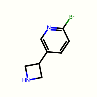 Brc1ccc(C2CNC2)cn1